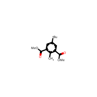 COC(=O)c1cc(C(C)(C)C)cc(C(=O)OC)c1C